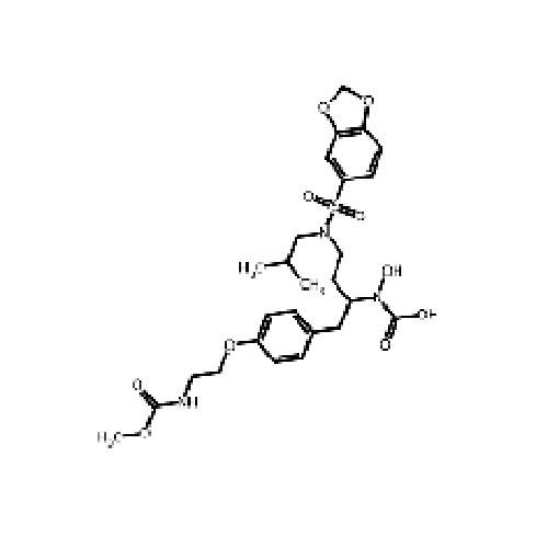 COC(=O)NCCOc1ccc(CC(CCN(CC(C)C)S(=O)(=O)c2ccc3c(c2)OCO3)N(O)C(=O)O)cc1